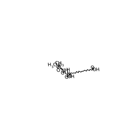 CC(C)C1CC(=O)N(CCNC(=O)CCC(NC(=O)CCCCCCCCCCCCCCCCC(=O)O)C(=O)O)C1=O